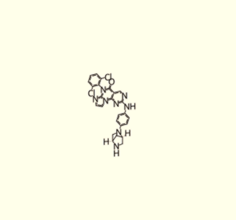 O=c1c2cnc(Nc3ccc(N4C[C@H]5C[C@@H]4CN5)cc3)nc2n2ccnc2n1-c1c(Cl)cccc1Cl